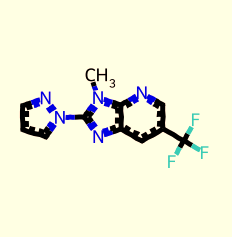 Cn1c(-n2cccn2)nc2cc(C(F)(F)F)cnc21